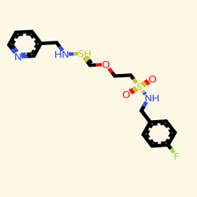 O=S(=O)(CCOC=[SH]NCc1cccnc1)NCc1ccc(F)cc1